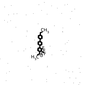 CCCc1ccc(-c2ccc(-c3ccc(C(=O)CC)c(C(F)(F)F)c3F)cc2)cc1